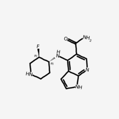 NC(=O)c1cnc2[nH]ccc2c1N[C@@H]1CCNC[C@H]1F